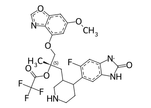 COc1cc(OC[C@](C)(CC2CNCCC2c2cc3c(cc2F)[N]C(=O)N3)OC(=O)C(F)(F)F)c2ncoc2c1